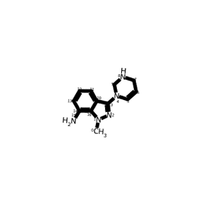 Cn1nc(N2C=CCNC2)c2cccc(N)c21